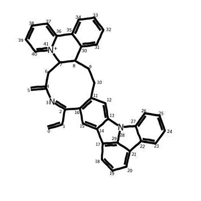 C=C/C1=N/C(=C)CC2C(CCc3cc4c(cc31)c1cccc3c5ccccc5n4c31)c1ccccc1-c1cccc[n+]12